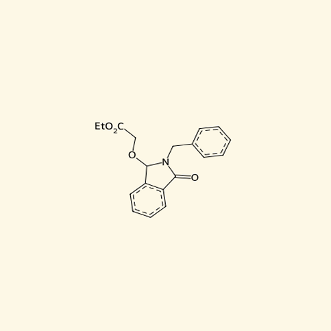 CCOC(=O)COC1c2ccccc2C(=O)N1Cc1ccccc1